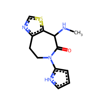 CNC1C(=O)N(c2ccc[nH]2)CCc2ncsc21